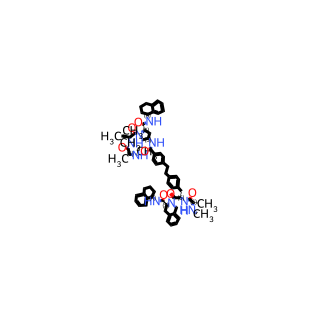 CN[C@@H](C)C(=O)NC(C(=O)N1C[C@@H](NC(=O)c2ccc(CCc3ccc(C[C@H](NC(=O)[C@H](C)NC)C(=O)N4Cc5ccccc5C[C@H]4C(=O)N[C@@H]4CCCc5ccccc54)cc3)cc2)C[C@H]1C(=O)N[C@@H]1CCCc2ccccc21)C(C)(C)C